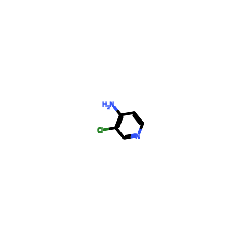 Nc1ccn[c]c1Cl